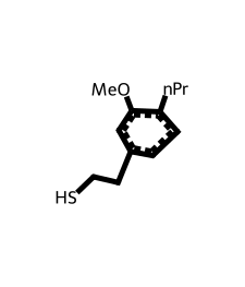 CCCc1ccc(CCS)cc1OC